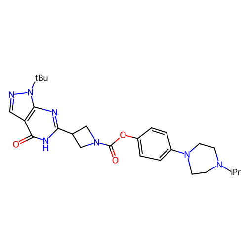 CC(C)N1CCN(c2ccc(OC(=O)N3CC(c4nc5c(cnn5C(C)(C)C)c(=O)[nH]4)C3)cc2)CC1